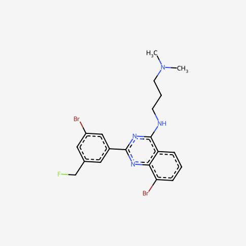 CN(C)CCCNc1nc(-c2cc(Br)cc(CF)c2)nc2c(Br)cccc12